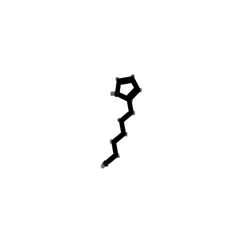 [S]CCCCCc1ccco1